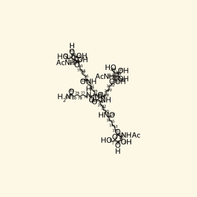 CC(=O)N[C@H]1C(O)[C@@H](O)C(CO)O[C@H]1OCCCCCC(=O)NCCCCC(NC(=O)CCCCCO[C@H](O)[C@@]1(NC(C)=O)C(O)[C@@H](O)C1CO)C(=O)NC(CCCCNC(=O)CCCCCO[C@H](O)[C@@]1(NC(C)=O)C(O)[C@@H](O)C1CO)C(=O)NCCCCCC(N)=O